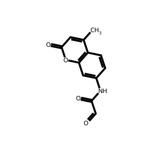 Cc1cc(=O)oc2cc(NC(=O)C=O)ccc12